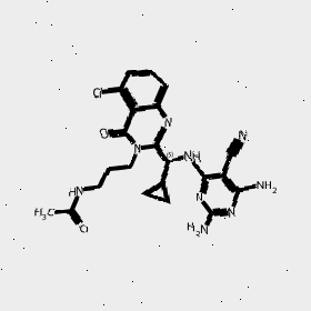 CC(=O)NCCCn1c([C@@H](Nc2nc(N)nc(N)c2C#N)C2CC2)nc2cccc(Cl)c2c1=O